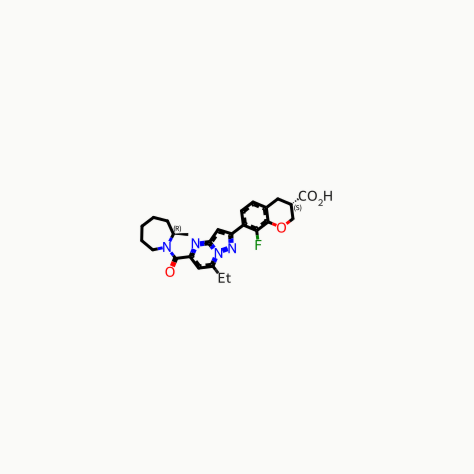 CCc1cc(C(=O)N2CCCCC[C@H]2C)nc2cc(-c3ccc4c(c3F)OC[C@@H](C(=O)O)C4)nn12